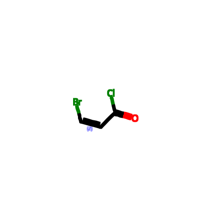 O=C(Cl)/C=C\Br